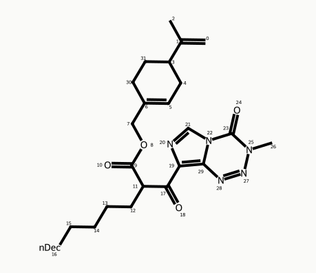 C=C(C)C1CC=C(COC(=O)C(CCCCCCCCCCCCCC)C(=O)c2ncn3c(=O)n(C)nnc23)CC1